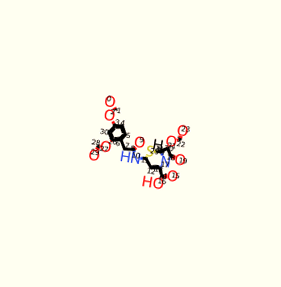 O=COc1ccc(CC(=O)NC2C=C(C(=O)O)N3C(=O)C(OC=O)[C@H]3S2)c(OC=O)c1